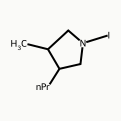 CCCC1CN(I)CC1C